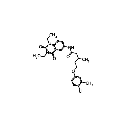 CCn1c(=O)c2cc(NC(=O)CC(C)CCOc3ccc(Cl)c(C)c3)ccc2n(CC)c1=O